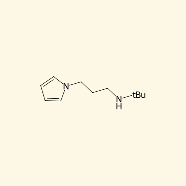 CC(C)(C)NCCCn1cccc1